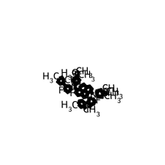 Cc1ccc(-c2cc(N(c3ccc([Si](C)(C)C)cc3)c3ccc4ccc5c(N(c6ccc([Si](C)(C)C)cc6)c6cc(-c7ccc(C)cc7C)c(F)cc6F)ccc6ccc3c4c65)c(F)cc2F)c(C)c1